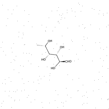 C[C@H](O)[C@@H](O)[C@H](O)[C@H](O)C=O